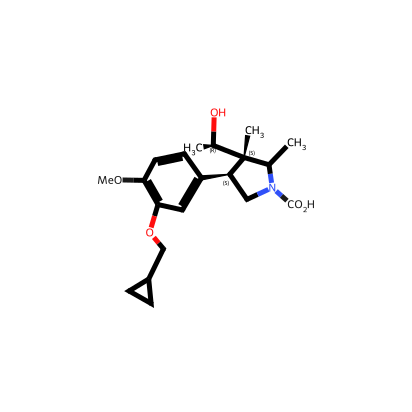 COc1ccc([C@@H]2CN(C(=O)O)C(C)[C@@]2(C)[C@@H](C)O)cc1OCC1CC1